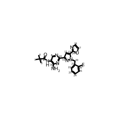 CC(C)(C)C(=O)Nc1cnc(-c2cc(-c3ncco3)n(Cc3ccccc3F)n2)nc1N